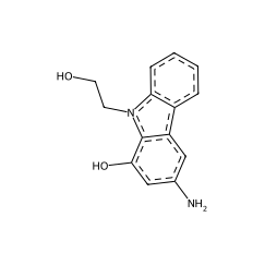 Nc1cc(O)c2c(c1)c1ccccc1n2CCO